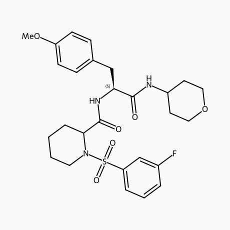 COc1ccc(C[C@H](NC(=O)C2CCCCN2S(=O)(=O)c2cccc(F)c2)C(=O)NC2CCOCC2)cc1